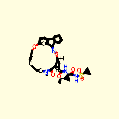 C=C[C@@H]1C[C@]1(NC(=O)[C@@H]1C[C@@H]2C[C@H]1C(=O)N(C)CCCC/C=C/COc1ccc3c(c1)/C(=N/O2)c1ccccc1-3)C(=O)NS(=O)(=O)C1CC1